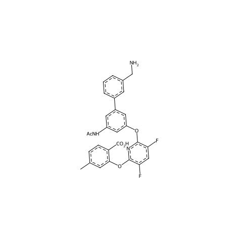 CC(=O)Nc1cc(Oc2nc(Oc3cc(C)ccc3C(=O)O)c(F)cc2F)cc(-c2cccc(CN)c2)c1